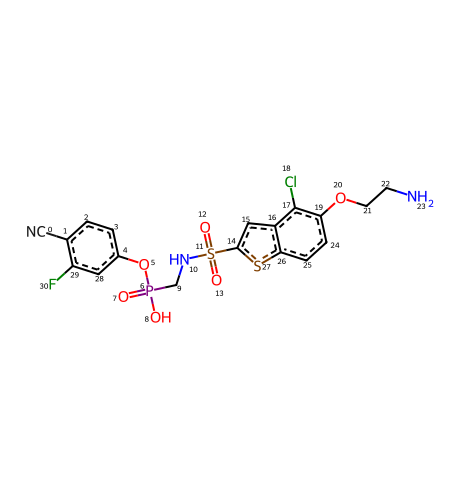 N#Cc1ccc(OP(=O)(O)CNS(=O)(=O)c2cc3c(Cl)c(OCCN)ccc3s2)cc1F